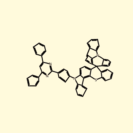 c1ccc(-c2cc(-c3ccccc3)nc(-c3ccc(-n4c5ccccc5c5c6c(ccc54)C4(c5ccccc5S6)c5ccccc5-n5c6ccccc6c6cccc4c65)cc3)n2)cc1